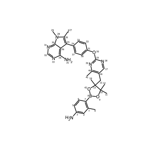 Cc1cc(N)ccc1B1OC(C)(C)C(C)(Cc2cnc(Oc3ccc(-c4c(I)n(C)c5ncnc(N)c45)cc3)nc2C)O1